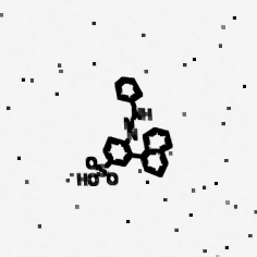 O=S(=O)(O)c1ccc(N=NNc2ccccc2)c(-c2cccc3ccccc23)c1